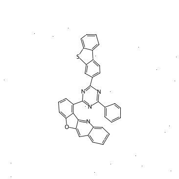 c1ccc(-c2nc(-c3ccc4c(c3)sc3ccccc34)nc(-c3cccc4oc5cc6ccccc6nc5c34)n2)cc1